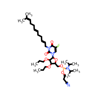 CCCOC1C(COP(OCCC#N)N(C(C)C)C(C)C)OC(n2cc(F)c(=O)n(C/C=C/CC/C=C/CCC=C(C)C)c2=O)C1OCCC